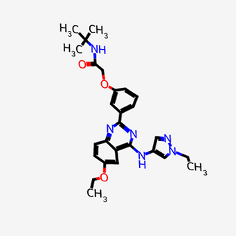 CCOc1ccc2nc(-c3cccc(OCC(=O)NC(C)(C)C)c3)nc(Nc3cnn(CC)c3)c2c1